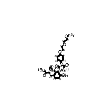 CCCOCCOCCOc1ccc(-n2c(=O)[nH]n(-c3cc(C[C@H](NC(C)(C)C)C(=O)C(C)(C)C)ccc3O)c2=O)cc1